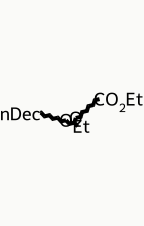 CCCCCCCCCCCCCCCCOCC(CC)OCCCCCCC(=O)OCC